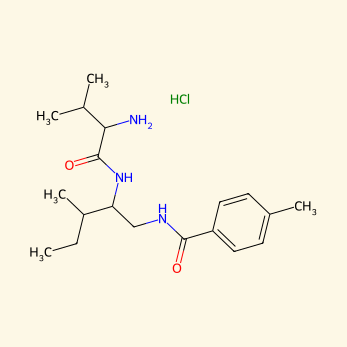 CCC(C)C(CNC(=O)c1ccc(C)cc1)NC(=O)C(N)C(C)C.Cl